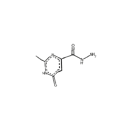 Cc1nc(C(=O)NN)cc(=O)[nH]1